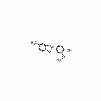 COc1cc([C@H]2Cc3cc(C)ccc3O2)ccc1O